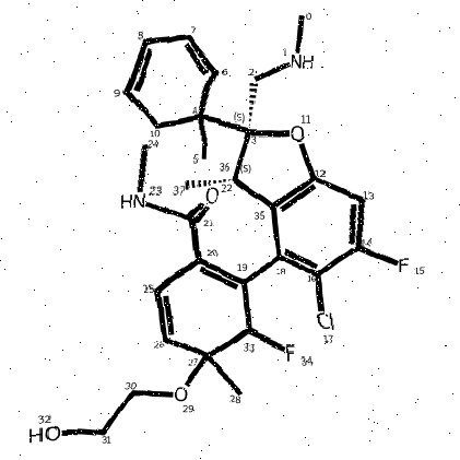 CNC[C@]1(C2(C)C=CC=CC2)Oc2cc(F)c(Cl)c(C3=C(C(=O)NC)C=CC(C)(OCCO)C3F)c2[C@@H]1C